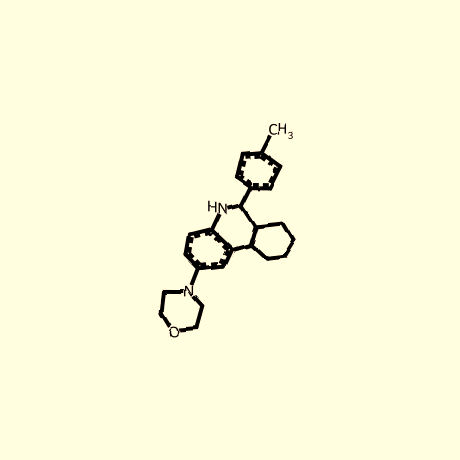 Cc1ccc(C2Nc3ccc(N4CCOCC4)cc3C3CCCCC32)cc1